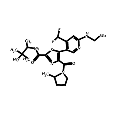 CC1CCCN1C(=O)c1nc(C(=O)NC(C)C(C)(C)O)sc1-c1cnc(NCC(C)(C)C)cc1C(F)F